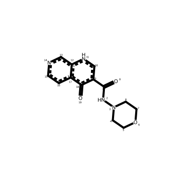 O=C(NN1CCOCC1)c1c[nH]c2cnccc2c1=O